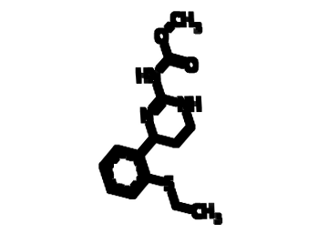 CCSc1ccccc1C1CCNC(NC(=O)OC)=N1